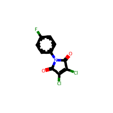 O=C1C(Cl)=C(Cl)C(=O)N1c1ccc(F)cc1